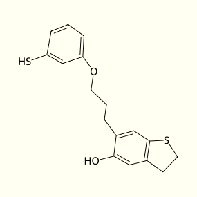 Oc1cc2c(cc1CCCOc1cccc(S)c1)SCC2